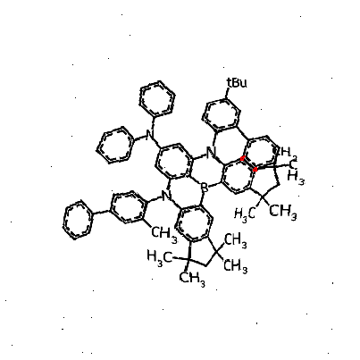 Cc1cc(-c2ccccc2)ccc1N1c2cc3c(cc2B2c4cc5c(cc4N(c4ccc(C(C)(C)C)cc4-c4ccccc4)c4cc(N(c6ccccc6)c6ccccc6)cc1c42)C(C)(C)CC5(C)C)C(C)(C)CC3(C)C